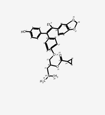 CC/C(=C(\c1ccc(O)cc1)c1ccc(OCC(CN(C)C)OC(=O)C2CC2)cc1)c1ccc2c(c1)OCO2